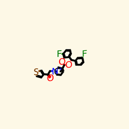 O=C(C[N+]12CCC(CC1)C(C(=O)OC(c1cccc(F)c1)c1cccc(F)c1)C2)c1ccsc1